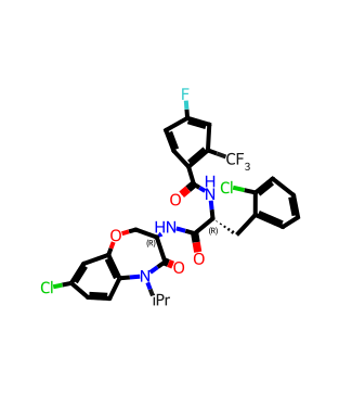 CC(C)N1C(=O)[C@H](NC(=O)[C@@H](Cc2ccccc2Cl)NC(=O)c2ccc(F)cc2C(F)(F)F)COc2cc(Cl)ccc21